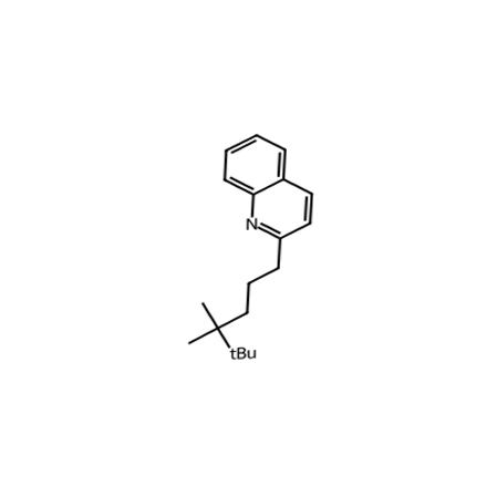 CC(C)(C)C(C)(C)CCCc1ccc2ccccc2n1